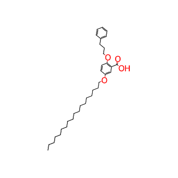 CCCCCCCCCCCCCCCCCCOc1ccc(OCCCc2ccccc2)c(C(=O)O)c1